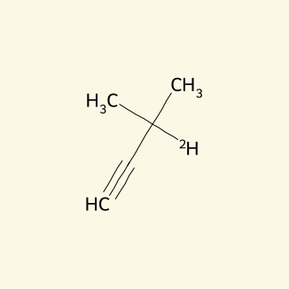 [2H]C(C)(C)C#C